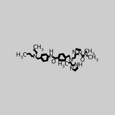 CCCN(CCC)Cc1ccc(NC(=O)c2ccc(CN(Cc3nccn3C(=O)N(C)C)C(C)c3ncc[nH]3)cc2)cc1